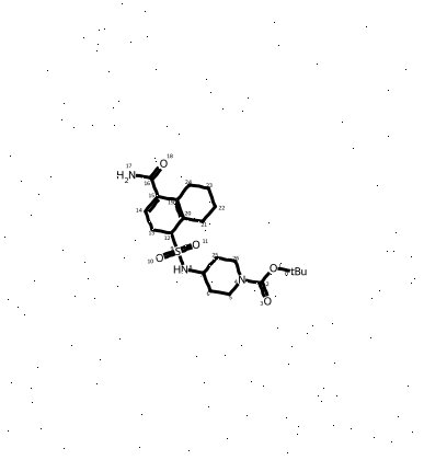 CC(C)(C)OC(=O)N1CCC(NS(=O)(=O)C2CC=C(C(N)=O)C3=C2CCCC3)CC1